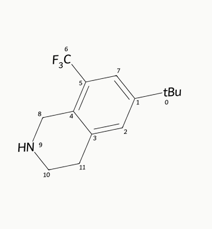 CC(C)(C)c1cc2c(c(C(F)(F)F)c1)CNCC2